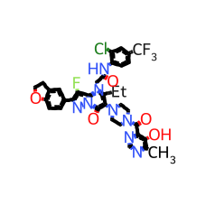 CCc1c(N2CCN(C(=O)c3ncnc(C)c3O)CC2)c(=O)n2nc(-c3ccc4c(c3)CCO4)c(F)c2n1CC(=O)Nc1ccc(C(F)(F)F)cc1Cl